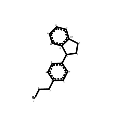 BrCCc1ccc(C2CCc3ccccc32)cc1